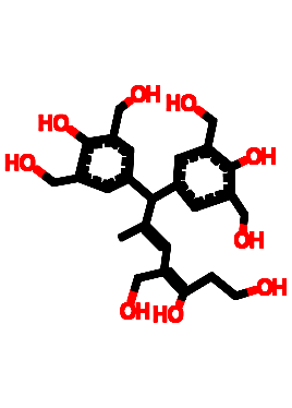 C/C(=C\C(CO)=C(\O)CCO)C(c1cc(CO)c(O)c(CO)c1)c1cc(CO)c(O)c(CO)c1